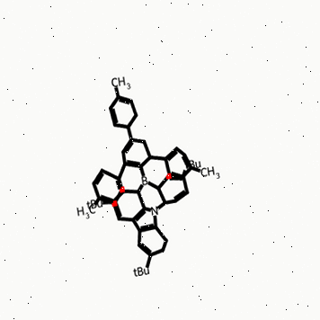 CC1=CCC(C2=CC(c3ccc(C)cc3)=C(B3C4CC(C(C)(C)C)=Cc5c6c(n(c54)C4C=CC(C(C)(C)C)=CC34)CCC(C(C)(C)C)=C6)C(c3ccc(C)cc3)C2)C=C1